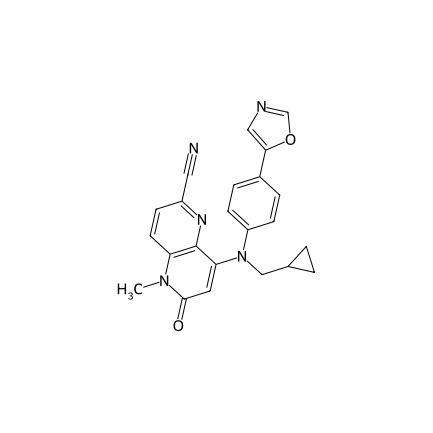 Cn1c(=O)cc(N(CC2CC2)c2ccc(-c3cnco3)cc2)c2nc(C#N)ccc21